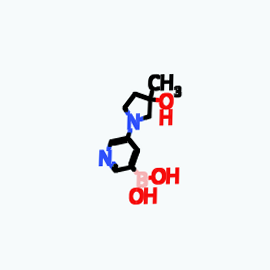 CC1(O)CCN(c2cncc(B(O)O)c2)C1